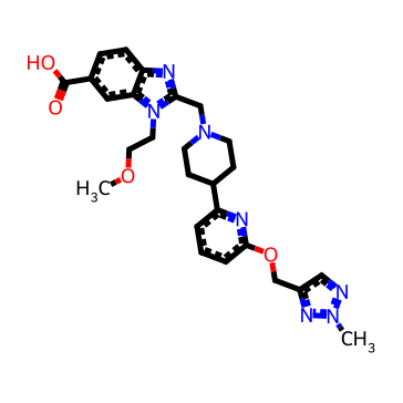 COCCn1c(CN2CCC(c3cccc(OCc4cnn(C)n4)n3)CC2)nc2ccc(C(=O)O)cc21